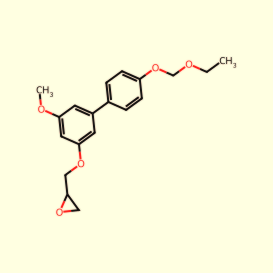 CCOCOc1ccc(-c2cc(OC)cc(OCC3CO3)c2)cc1